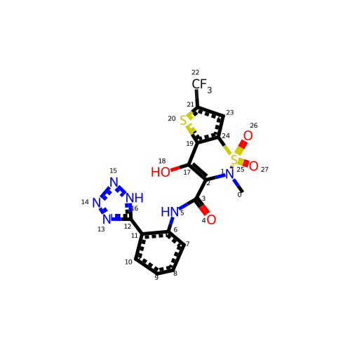 CN1C(C(=O)Nc2ccccc2-c2nnn[nH]2)=C(O)c2sc(C(F)(F)F)cc2S1(=O)=O